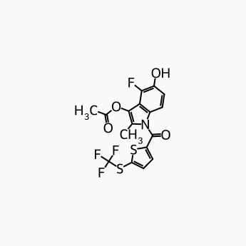 CC(=O)Oc1c(C)n(C(=O)c2ccc(SC(F)(F)F)s2)c2ccc(O)c(F)c12